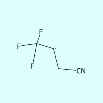 N#CC[CH]C(F)(F)F